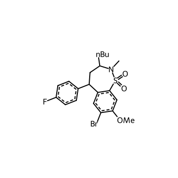 CCCCC1CC(c2ccc(F)cc2)c2cc(Br)c(OC)cc2S(=O)(=O)N1C